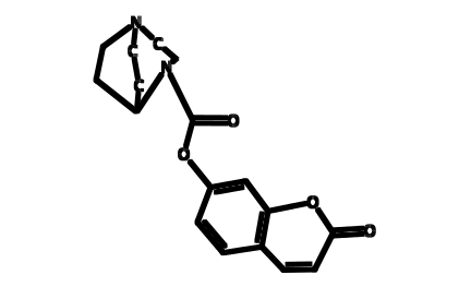 O=C(Oc1ccc2ccc(=O)oc2c1)N1CCN2CCC1CC2